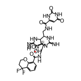 C[C@]1(O)C(NC(=O)c2cccc3c2OCCC3(F)F)CN2C(=N)NC(CNC(=O)c3cc(=O)[nH]c(=O)[nH]3)C3NC(=N)N(O)C321